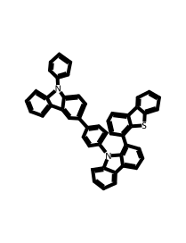 c1ccc(-n2c3ccccc3c3cc(-c4ccc(-n5c6ccccc6c6cccc(-c7cccc8c7sc7ccccc78)c65)cc4)ccc32)cc1